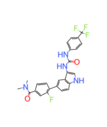 CN(C)C(=O)c1ccc(-c2ccc3[nH]cc(NC(=O)Nc4ccc(C(F)(F)F)cc4)c3c2)c(F)c1